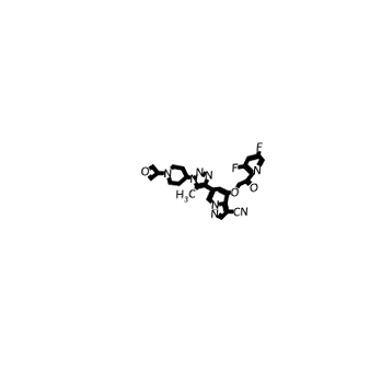 Cc1c(-c2cc(OCC(=O)c3ncc(F)cc3F)c3c(C#N)cnn3c2)nnn1C1CCN(C2COC2)CC1